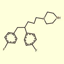 Fc1ccc(CC(CCCN2CCNCC2)c2ccc(F)cc2)cc1